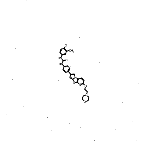 Cc1cc(NC(=O)Nc2ccc(-c3cn4c(n3)sc3nc(OCCN5CCOCC5)ccc34)cc2)ccc1Cl